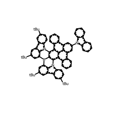 CC(C)(C)c1ccc2c(c1)c1cc(C(C)(C)C)cc3c1n2-c1c2c(c4c5ccccc5c5cc(-n6c7ccccc7c7ccccc76)cc6c7ccccc7c1c4c65)-n1c4ccc(C(C)(C)C)cc4c4cc(C(C)(C)C)cc(c41)B23